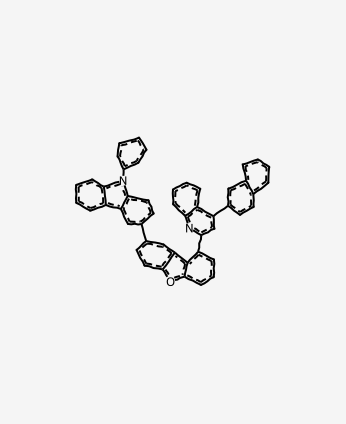 c1ccc(-n2c3ccccc3c3cc(-c4ccc5oc6cccc(-c7cc(-c8ccc9ccccc9c8)c8ccccc8n7)c6c5c4)ccc32)cc1